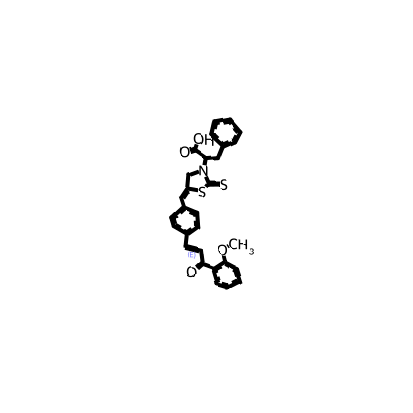 COc1ccccc1C(=O)/C=C/c1ccc(C=C2CN(C(Cc3ccccc3)C(=O)O)C(=S)S2)cc1